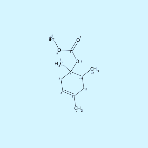 CC1=CCC(C)(OC(=O)OC(C)C)C(C)C1